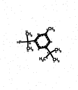 Cc1cc(C(C)(C)C)cc(C(C)(C)F)c1